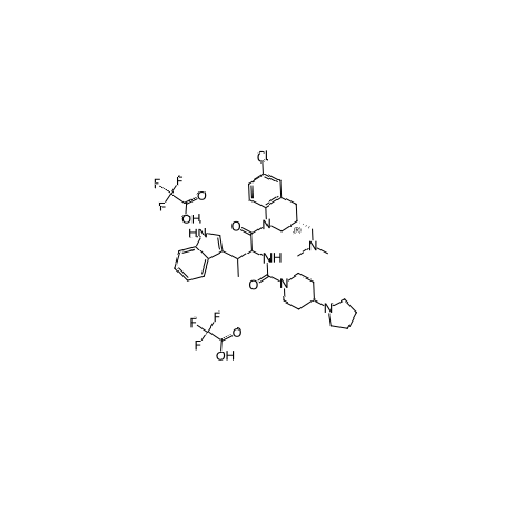 CC(c1c[nH]c2ccccc12)C(NC(=O)N1CCC(N2CCCC2)CC1)C(=O)N1C[C@@H](CN(C)C)Cc2cc(Cl)ccc21.O=C(O)C(F)(F)F.O=C(O)C(F)(F)F